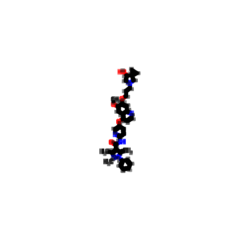 C=C1C(C(=O)Nc2ccc(Oc3ccnc4cc(OCCCN5CC(O)C6(CC6)C5)c(OC)cc34)cn2)=C(C)N(C)N1c1ccccc1